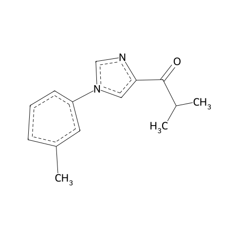 Cc1cccc(-n2cnc(C(=O)C(C)C)c2)c1